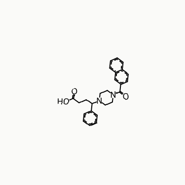 O=C(O)CCC(c1ccccc1)N1CCN(C(=O)c2ccc3ccccc3c2)CC1